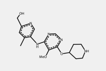 COc1c(Nc2cnc(CO)cc2C)ncnc1OC1CCNCC1